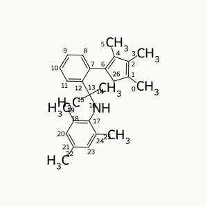 CC1=C(C)C(C)=C(c2ccccc2C(C)(C)Nc2c(C)cc(C)cc2C)C1